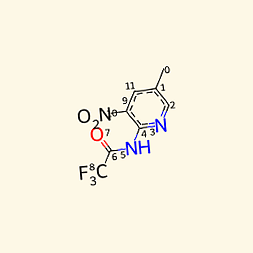 Cc1cnc(NC(=O)C(F)(F)F)c([N+](=O)[O-])c1